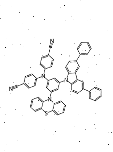 N#Cc1ccc(N(c2ccc(C#N)cc2)c2cc(N3c4ccccc4Sc4ccccc43)cc(-n3c4ccc(-c5ccccc5)cc4c4cc(-c5ccccc5)ccc43)c2)cc1